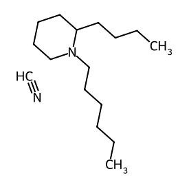 C#N.CCCCCCN1CCCCC1CCCC